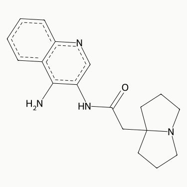 Nc1c(NC(=O)CC23CCCN2CCC3)cnc2ccccc12